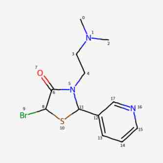 CN(C)CCN1C(=O)C(Br)SC1c1cccnc1